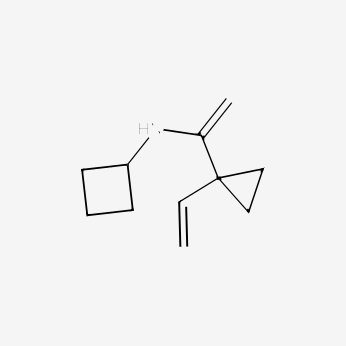 C=CC1(C(=C)NC2CCC2)CC1